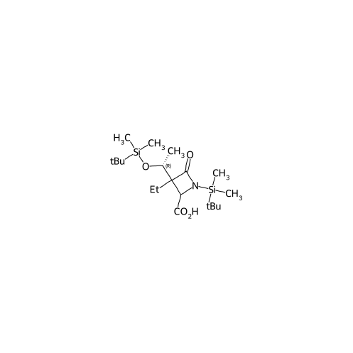 CCC1([C@@H](C)O[Si](C)(C)C(C)(C)C)C(=O)N([Si](C)(C)C(C)(C)C)C1C(=O)O